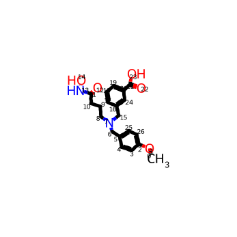 COc1ccc(CN(CCCC(=O)NO)Cc2cccc(C(=O)O)c2)cc1